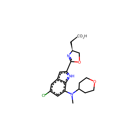 CN(c1cc(Cl)cc2cc(C3=N[C@@H](CC(=O)O)CO3)[nH]c12)C1CCOCC1